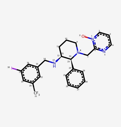 [O-][n+]1cccnc1CN1CCC[C@H](NCc2cc(I)cc(C(F)(F)F)c2)[C@@H]1c1ccccc1